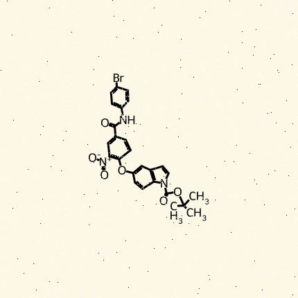 CC(C)(C)OC(=O)n1ccc2cc(Oc3ccc(C(=O)Nc4ccc(Br)cc4)cc3[N+](=O)[O-])ccc21